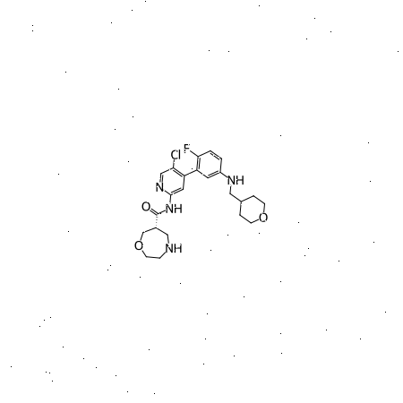 O=C(Nc1cc(-c2cc(NCC3CCOCC3)ccc2F)c(Cl)cn1)[C@@H]1CNCCOC1